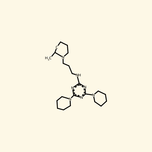 CC1CCCCN1CCCNc1nc(N2CCCCC2)nc(N2CCCCC2)n1